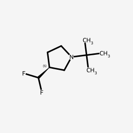 CC(C)(C)N1CC[C@H](C(F)F)C1